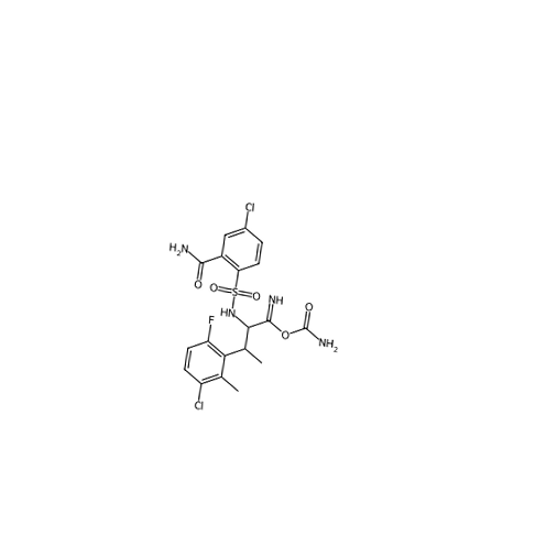 Cc1c(Cl)ccc(F)c1C(C)C(NS(=O)(=O)c1ccc(Cl)cc1C(N)=O)C(=N)OC(N)=O